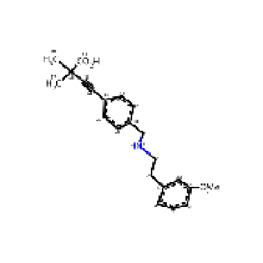 COc1cccc(CCNCc2ccc(C#CC(C)(C)C(=O)O)cc2)c1